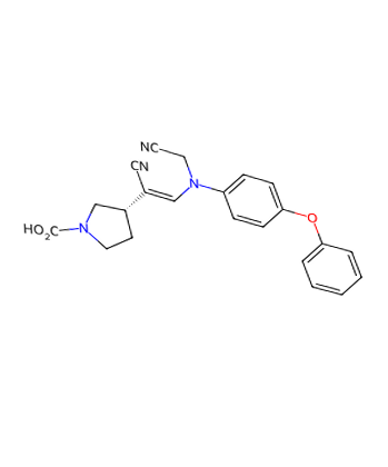 N#CCN(/C=C(\C#N)[C@@H]1CCN(C(=O)O)C1)c1ccc(Oc2ccccc2)cc1